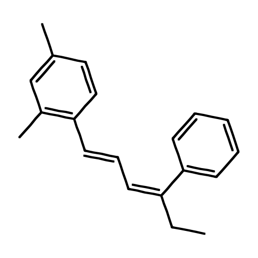 CCC(=CC=Cc1ccc(C)cc1C)c1ccccc1